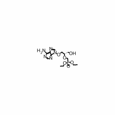 CCOP(=O)(CO[C@@H](CO)COn1cnc2c(N)ncnc21)OCC